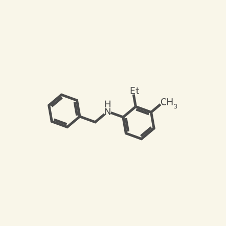 CCc1c(C)cccc1NCc1ccccc1